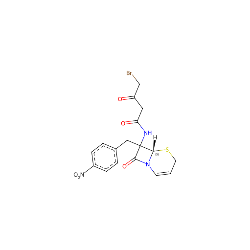 O=C(CBr)CC(=O)NC1(Cc2ccc([N+](=O)[O-])cc2)C(=O)N2C=CCS[C@H]21